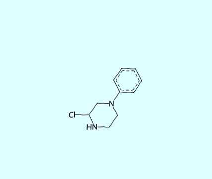 ClC1CN(c2ccccc2)CCN1